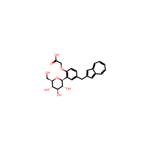 O=C(O)COc1ccc(Cc2cc3cccccc-3c2)cc1[C@@H]1O[C@H](CO)[C@@H](O)[C@H](O)[C@H]1O